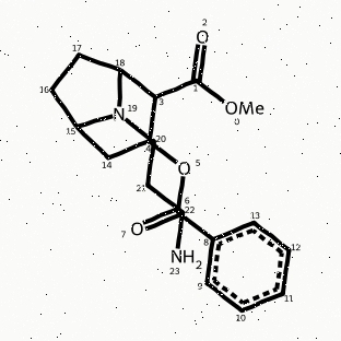 COC(=O)C1C(OC(=O)c2ccccc2)CC2CCC1N2CCCN